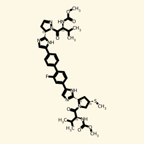 COC(=O)N[C@H](C(=O)N1C[C@@H](SC)C[C@H]1c1ncc(-c2ccc(-c3ccc(-c4cnc([C@@H]5CC=NN5C(=O)[C@@H](NC(=O)OC)C(C)C)[nH]4)cc3)c(F)c2)[nH]1)C(C)C